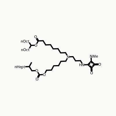 CCCCCCCCC(CCCCCCCC)OC(=O)CCCCCCCN(CCCCCCOC(=O)OCC(C)CCCCCCC)CCCNc1c(NC)c(=O)c1=O